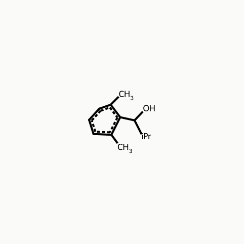 Cc1cccc(C)c1C(O)C(C)C